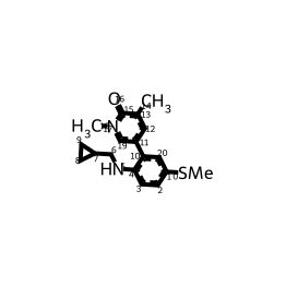 CSc1ccc(NCC2CC2)c(-c2cc(C)c(=O)n(C)c2)c1